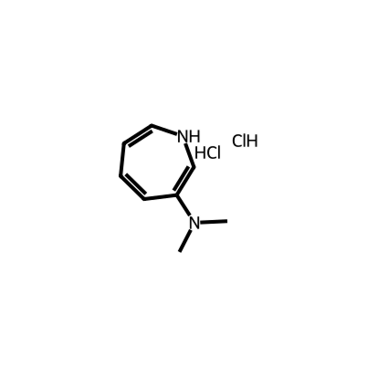 CN(C)C1=CNC=CC=C1.Cl.Cl